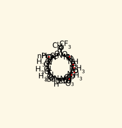 CCCOC[C@H]1C(=O)N(C)CC(=O)N[C@@H](CCc2ccc(C(F)(F)F)c(Cl)c2)C(=O)N2CCC[C@H]2C(=O)NC2(CCCC2)C(=O)N(C)[C@@H](C2CCCCC2)C(=O)N(C)[C@H](C(=O)N2C3CCC2COC3)CC(=O)N(C)[C@@H](CC)C(=O)N[C@@H]([C@@H](C)CC)C(=O)N(C)CC(=O)N(C)CC(=O)N1C